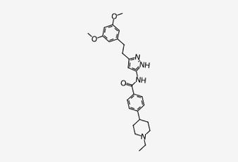 CCN1CCC(c2ccc(C(=O)Nc3cc(CCc4cc(OC)cc(OC)c4)n[nH]3)cc2)CC1